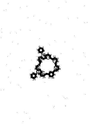 c1ccc(-n2c3ccc4cc3c3cc(ccc32)c2ccc3c(c2)c2cc(ccc2n3-c2ccccc2)c2cccc(c2)c2cccc(n2)c2cccc4c2)cc1